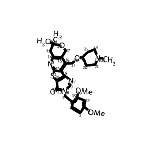 COc1ccc(Cn2cnc3c(sc4nc5c(c(COC6CCN(C)CC6)c43)COC(C)(C)C5)c2=O)c(OC)c1